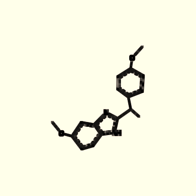 COc1ccc(C(C)c2nc3cc(OC)ccc3[nH]2)cc1